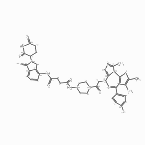 Cc1sc2c(c1C)C(c1ccc(Cl)cc1)=N[C@@H](CC(=O)N1CCN(NC(=O)CCC(=O)Nc3cccc4c3CN(C3CCC(=O)NC3=O)C4=O)CC1)c1nnc(C)n1-2